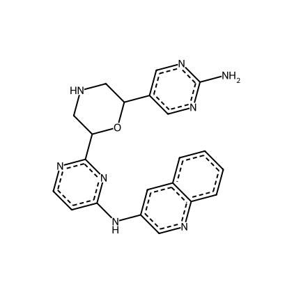 Nc1ncc(C2CNCC(c3nccc(Nc4cnc5ccccc5c4)n3)O2)cn1